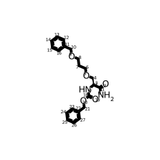 NC(=O)[C@H](COCCCOCc1ccccc1)NC(=O)OCc1ccccc1